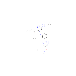 CCN(C)C(=O)c1cnc(-c2cccc(Nc3cc(NC(=O)C4CC4)nnc3C(=O)NC)c2OC)nc1